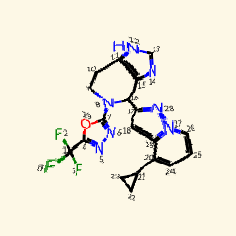 FC(F)(F)c1nnc(N2CCc3[nH]cnc3C2c2cc3c(C4CC4)cccn3n2)o1